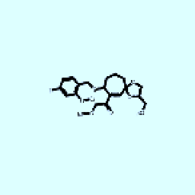 CCOCC(=O)C1=CC2(CCCC1SCc1ccc(F)cc1OCl)OCC(CO)O2